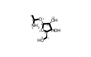 CC(N)O[C@H]1O[C@H](CO)[C@@H](O)[C@H]1O